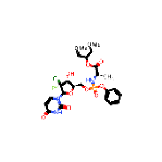 COCC(COC)OC(=O)[C@H](C)NP(=O)(OC[C@H]1OC(n2ccc(=O)[nH]c2=O)[C@@](F)(Cl)[C@@H]1O)Oc1ccccc1